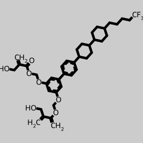 C=C(CO)C(=C)OCOc1cc(OCOC(=O)C(=C)CO)cc(-c2ccc(C3CCC(C4CCC(CCCCC(F)(F)F)CC4)CC3)cc2)c1